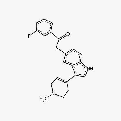 CN1CC=C(c2c[nH]c3ccc(CC(=O)c4cccc(F)c4)cc23)CC1